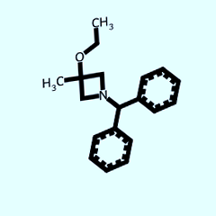 CCOC1(C)CN(C(c2ccccc2)c2ccccc2)C1